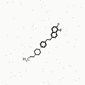 CCC[C@H]1CC[C@H](c2ccc(CCc3ccc4c(F)c(F)ccc4c3)cc2)CC1